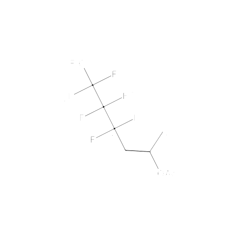 CC(=O)OC(C)CC(F)(F)C(F)(F)C(F)(F)C(F)(F)F